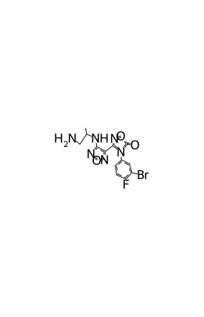 CC(CN)Nc1nonc1-c1noc(=O)n1-c1ccc(F)c(Br)c1